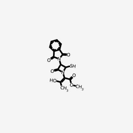 COC(=O)C(=C(C)O)N1C(=O)C(N2C(=O)c3ccccc3C2=O)C1S